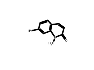 CC(C)c1ccc2ccc(=O)n(C)c2c1